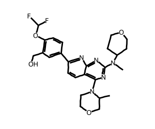 CC1COCCN1c1nc(N(C)C2CCOCC2)nc2nc(-c3ccc(OC(F)F)c(CO)c3)ccc12